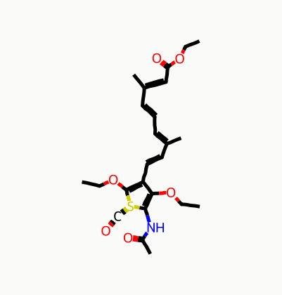 CCOC(=O)C=C(C)C=CC=C(C)C=CC1=C(OCC)S(=C=O)C(NC(C)=O)=C1OCC